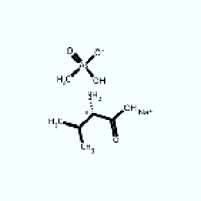 CC(C)[C@H](N)C(=O)O.C[As](=O)([O-])O.[Na+]